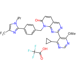 COc1ncnc(C2CC2)c1-c1ncc2ccc(=O)n(Cc3ccc(-c4nc(C(F)(F)F)cn4C(C)C)cc3)c2n1.O=C(O)C(F)(F)F